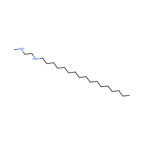 CCCCCCCCCCCCCCCCCNCCNC